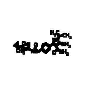 CC(C)n1nc(-c2ccc(CC(=O)Nc3cc(C4(C)CC4)on3)cc2)c(C(N)=O)c1N